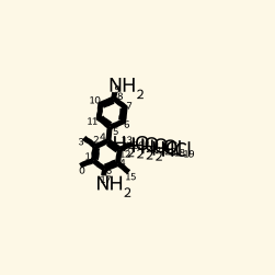 Cc1c(C)c(-c2ccc(N)cc2)c(C)c(C)c1N.Cl.Cl.O.O.O.O